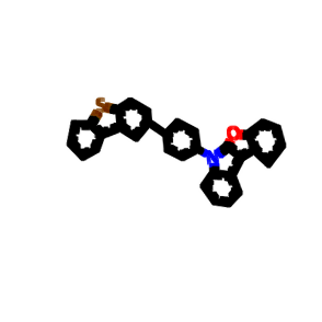 c1ccc2c(c1)oc1c2c2ccccc2n1-c1ccc(-c2ccc3sc4ccccc4c3c2)cc1